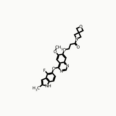 COc1cc2c(Oc3ccc4[nH]c(C)cc4c3F)ncnc2cc1OCCC(=O)N1CC2(COC2)C1